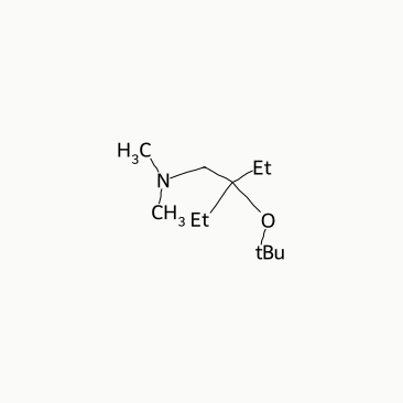 CCC(CC)(CN(C)C)OC(C)(C)C